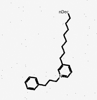 CCCCCCCCCCCCCCCCCCc1ccc[n+](CCCc2ccccc2)c1